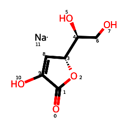 O=C1O[C@@H]([C@@H](O)CO)C=C1O.[Na]